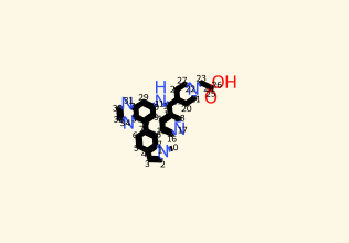 Cn1ccc2ccc(-c3cc(NC(c4cccnc4)C4CCN(CC(=O)O)CC4)cc4nccnc34)cc21